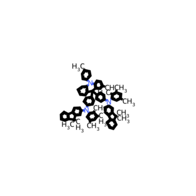 Cc1ccc(N2c3ccccc3C(c3ccc(N(c4ccc5c(c4)C(C)(C)c4ccccc4-5)c4cc(C)cc(C)c4C)cc3)(c3ccc(N(c4ccc5c(c4)C(C)(C)c4ccccc4-5)c4cc(C)cc(C)c4C)cc3)c3cc(C)ccc32)cc1